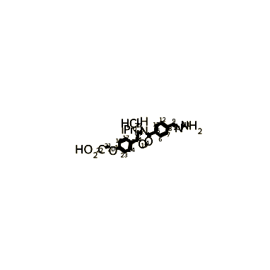 CC(C)[C@H](NC(=O)c1ccc(C=NN)cc1)C(=O)c1ccc(OCC(=O)O)cc1.Cl